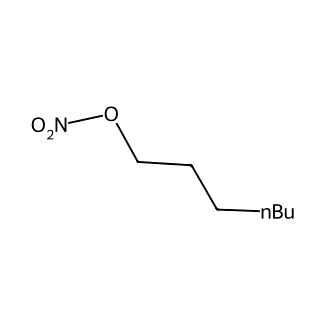 CCCCCCCO[N+](=O)[O-]